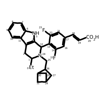 CCC1Cc2c([nH]c3ccccc23)C(c2c(F)cc(/C=C/C(=O)O)cc2F)N1CC1CC2CC1C2